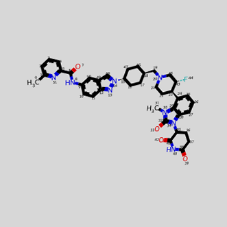 Cc1cccc(C(=O)Nc2ccc3nn([C@H]4CC[C@H](CN5CC[C@H](c6cccc7c6n(C)c(=O)n7C6CCC(=O)NC6=O)[C@@H](F)C5)CC4)cc3c2)n1